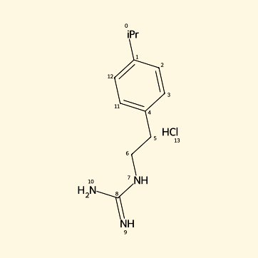 CC(C)c1ccc(CCNC(=N)N)cc1.Cl